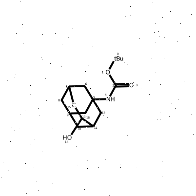 CC(C)(C)OC(=O)NC12CC3CC(CC(C1)C(O)C3)C2